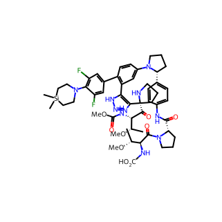 COC(=O)N[C@H](C(=O)[C@@]1(c2nn[nH]c2-c2cc(N3CCC[C@@H]3c3ccc(NC(=O)[C@@H]4CCCN4C(=O)[C@@H](NC(=O)O)[C@@H](C)OC)cc3)ccc2-c2cc(F)c(N3CC[Si](C)(C)CC3)c(F)c2)CCCN1)[C@H](C)OC